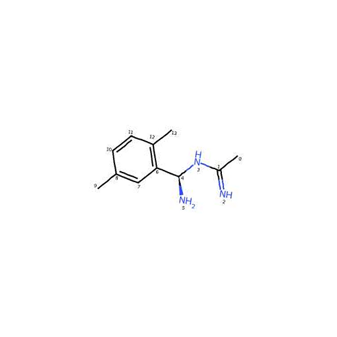 CC(=N)N[C@@H](N)c1cc(C)ccc1C